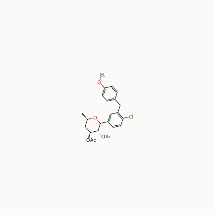 CCOc1ccc(Cc2cc(C3O[C@H](C)C[C@H](OC(C)=O)[C@H]3OC(C)=O)ccc2Cl)cc1